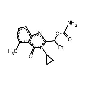 CCC(OC(N)=O)c1nc2cccc(C)c2c(=O)n1C1CC1